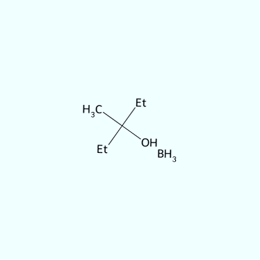 B.CCC(C)(O)CC